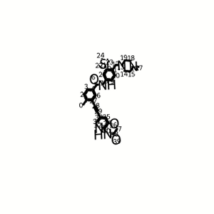 Cc1ccc(C(=O)Nc2ccc(CN3CCN(C)CC3)c([Si](C)(C)C)c2)cc1C#Cc1cnc2c(c1)OCC(=O)N2